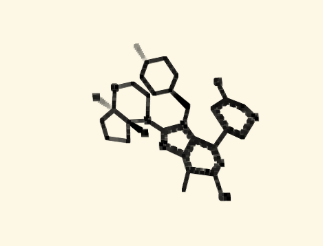 Cc1c(C#N)nc(-c2cncc(Cl)c2)c2c1nc(N1CCO[C@@H]3CCC[C@H]31)n2C[C@H]1CC[C@H](C)CC1